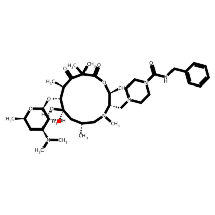 CO[C@]1(C)C[C@@H](C)CN(C)[C@@H](CN2CCN(C(=O)NCc3ccccc3)CC2)[C@H](C)OC(=O)C(C)(C)C(=O)[C@H](C)[C@H]1O[C@@H]1O[C@H](C)C[C@H](N(C)C)[C@H]1O